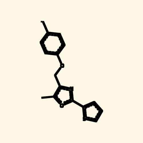 [CH2]c1ccc(OCc2nc(-c3cccs3)oc2C)cc1